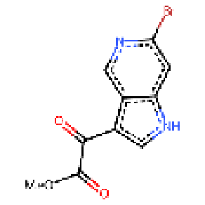 COC(=O)C(=O)c1c[nH]c2cc(Br)ncc12